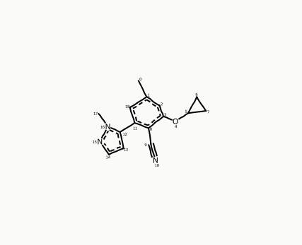 Cc1cc(OC2CC2)c(C#N)c(-c2ccnn2C)c1